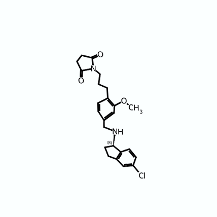 COc1cc(CN[C@@H]2CCc3cc(Cl)ccc32)ccc1CCCN1C(=O)CCC1=O